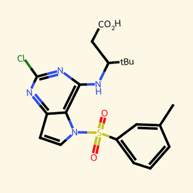 Cc1cccc(S(=O)(=O)n2ccc3nc(Cl)nc(NC(CC(=O)O)C(C)(C)C)c32)c1